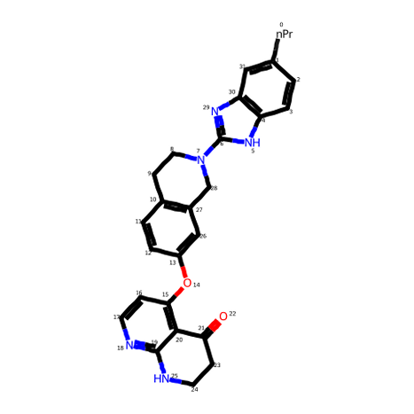 CCCc1ccc2[nH]c(N3CCc4ccc(Oc5ccnc6c5C(=O)CCN6)cc4C3)nc2c1